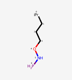 CC(C)CCCONP